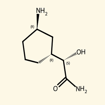 NC(=O)[C@@H](O)[C@@H]1CCC[C@@H](N)C1